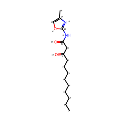 CCCCCCCCCC(=O)CC(=O)Nc1nc(C)co1